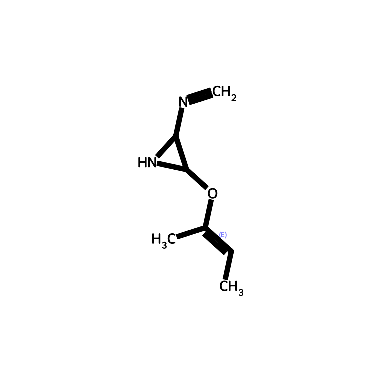 C=NC1NC1O/C(C)=C/C